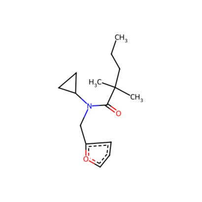 CCCC(C)(C)C(=O)N(Cc1ccco1)C1CC1